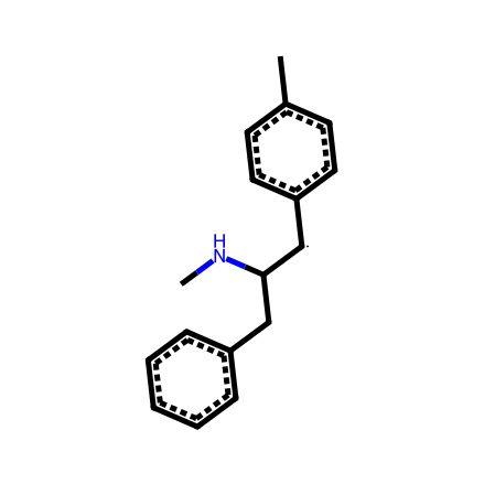 CNC([CH]c1ccc(C)cc1)Cc1ccccc1